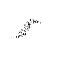 CN(C)CCNC(=O)c1ccc(CCc2ccc(Cl)cc2Cl)cc1